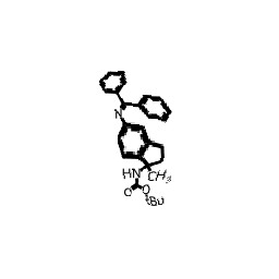 CC(C)(C)OC(=O)NC1(C)CCc2cc(N=C(c3ccccc3)c3ccccc3)ccc21